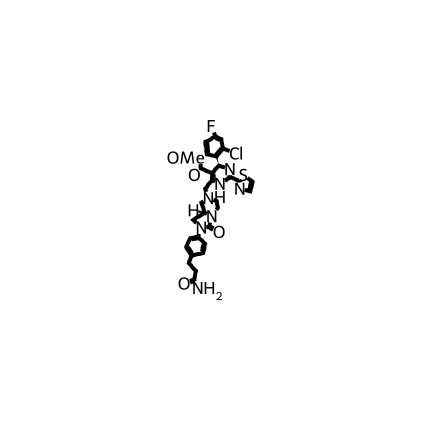 COC(=O)C1=C(CN2CCN3C(=O)N(c4ccc(CCC(N)=O)cc4)C[C@@H]3C2)NC(c2nccs2)=N[C@H]1c1ccc(F)cc1Cl